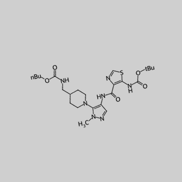 CCCCOC(=O)NCC1CCN(c2c(NC(=O)c3ncsc3NC(=O)OC(C)(C)C)cnn2C)CC1